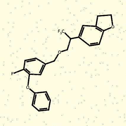 Fc1ccc(COCC(c2ccc3c(c2)CCO3)C(F)(F)F)cc1Oc1ccccc1